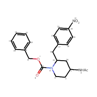 CC(=O)NC1CCN(C(=O)OCc2ccccc2)C(Cc2ccc([N+](=O)[O-])cc2)C1